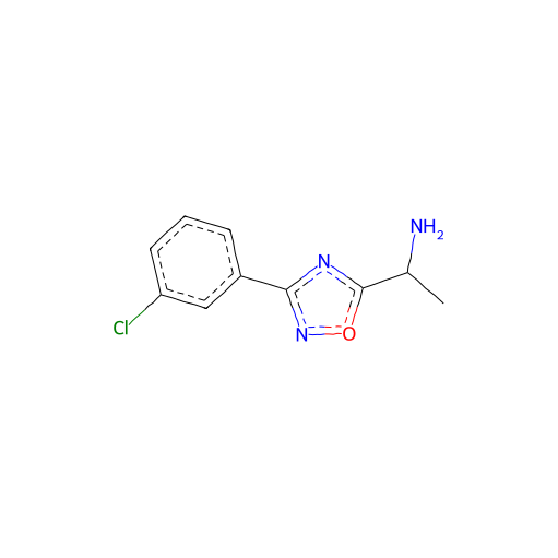 CC(N)c1nc(-c2cccc(Cl)c2)no1